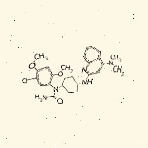 COc1cc(OC)c(N(C(N)=O)[C@H]2CC[C@@H](Nc3cc(N(C)C)c4ccccc4n3)CC2)cc1Cl